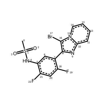 CS(=O)(=O)Nc1cc(-c2nc3ccccn3c2Br)c(F)cc1F